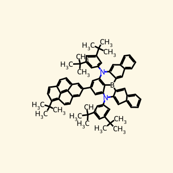 CC(C)(C)c1cc(N2c3cc4ccccc4cc3B3c4cc5ccccc5cc4N(c4cc(C(C)(C)C)cc(C(C)(C)C)c4)c4cc(-c5cc6ccc7ccc(C(C)(C)C)c8ccc(c5)c6c78)cc2c43)cc(C(C)(C)C)c1